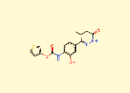 CC1CC(=O)NN=C1c1ccc(NC(=O)Oc2ccsc2)c(O)c1